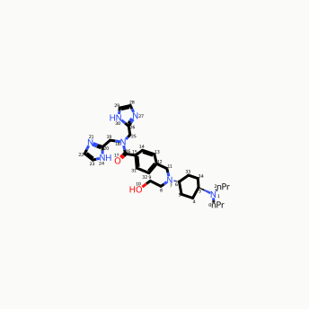 CCCN(CCC)[C@H]1CC[C@H](N(CCO)Cc2ccc(C(=O)N(Cc3ncc[nH]3)Cc3ncc[nH]3)cc2)CC1